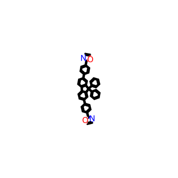 c1ccc(C2(c3ccccc3)c3cc(-c4ccc(-c5ncco5)cc4)ccc3-c3ccc(-c4ccc(-c5ncco5)cc4)cc32)cc1